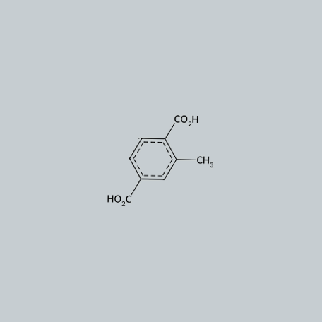 Cc1cc(C(=O)O)c[c]c1C(=O)O